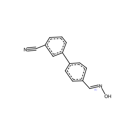 N#Cc1cccc(-c2ccc(/C=N/O)cc2)c1